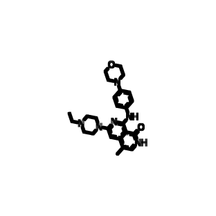 CCN1CCN(c2cc3c(C)c[nH]c(=O)c3c(Nc3ccc(N4CCOCC4)cc3)n2)CC1